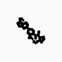 Cc1cc(-c2ccc3c(ccn3C)n2)ccc1NC(=O)c1ccnn1C